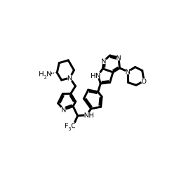 N[C@@H]1CCCN(Cc2ccnc(C(Nc3ccc(-c4cc5c(N6CCOCC6)ncnc5[nH]4)cc3)C(F)(F)F)c2)C1